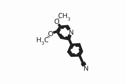 COc1cnc(-c2ccc(C#N)cc2)cc1OC